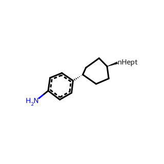 CCCCCCC[C@H]1CC[C@H](c2ccc(N)cc2)CC1